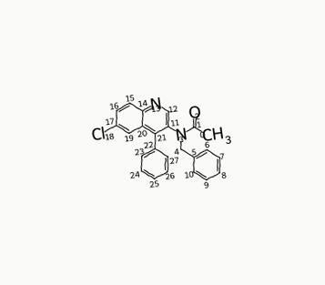 CC(=O)N(Cc1ccccc1)c1cnc2ccc(Cl)cc2c1-c1ccccc1